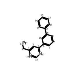 CC(C)Cc1cc(-c2cccc(-c3ccccc3)c2)ncn1